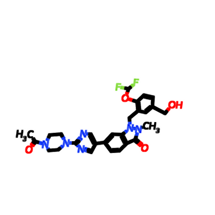 CC(=O)N1CCN(c2ncc(-c3ccc4c(=O)n(C)n(Cc5cc(CO)ccc5OC(F)F)c4c3)cn2)CC1